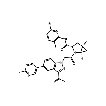 CC(=O)c1nn(CC(=O)N2[C@H](C(=O)Nc3nc(Br)ccc3C)C[C@]3(C)C[C@@H]23)c2ccc(-c3cnc(C)nc3)cc12